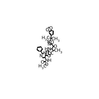 COC(=O)Nc1cnc(-c2ccccc2)n(CC(=O)NC(C(=O)c2nnc(C(C)(C)c3ccc4c(c3)OCO4)o2)C(C)C)c1=O